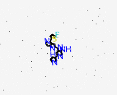 Fc1ccc(-c2nccc3[nH]c(-c4n[nH]c5cnc(-c6cccnc6)cc45)cc23)s1